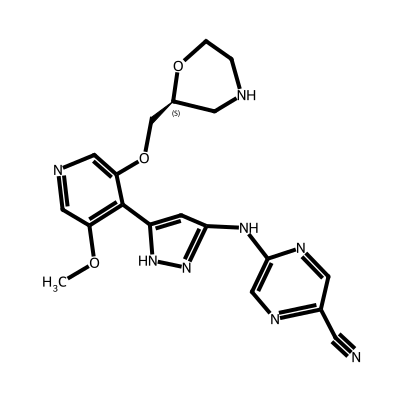 COc1cncc(OC[C@@H]2CNCCO2)c1-c1cc(Nc2cnc(C#N)cn2)n[nH]1